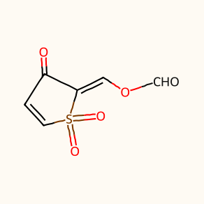 O=CO/C=C1/C(=O)C=CS1(=O)=O